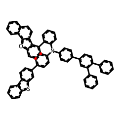 c1ccc(-c2ccc(-c3ccc(N(c4ccc(-c5ccc6c(c5)sc5ccccc56)cc4)c4ccccc4-c4cccc5oc6c7ccccc7ccc6c45)cc3)cc2-c2ccccc2)cc1